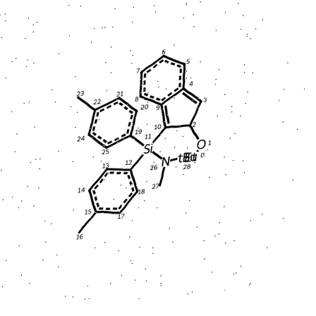 CCOC1C=c2ccccc2=C1[Si](c1ccc(C)cc1)(c1ccc(C)cc1)N(C)C(C)(C)C